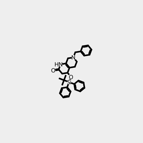 CC(C)(C)[Si](OC1CC(=O)NC2=C1CCN(Cc1ccccc1)C2)(c1ccccc1)c1ccccc1